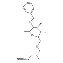 CC(CN=[N+]=[N-])COCC1OC(C)C(OCc2ccccc2)[C@@H](C)[C@@H]1C